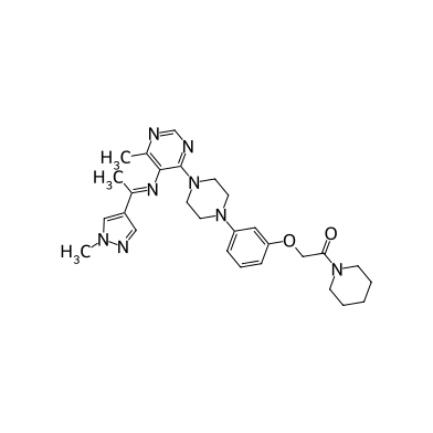 C/C(=N\c1c(C)ncnc1N1CCN(c2cccc(OCC(=O)N3CCCCC3)c2)CC1)c1cnn(C)c1